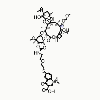 COCO/N=C1\[C@H](C)C[C@@](C)(O)[C@H](O[C@@H]2O[C@H](C)C[C@H](N(C)C)[C@H]2O)[C@@H](C)[C@H](O[C@H]2C[C@@](C)(OC)[C@@H](OC(=O)NCCOCCSc3ccc4c(c3)c(=O)c(C(=O)O)cn4N(C)C)[C@H](C)O2)[C@@H](C)C(=O)O[C@@H]2CC[C@]2(O)[C@@H]1O